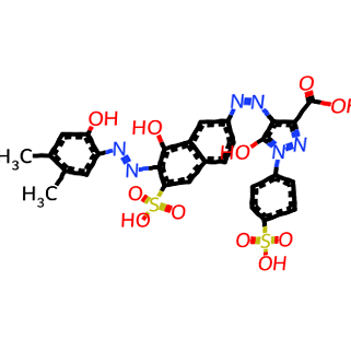 Cc1cc(O)c(N=Nc2c(S(=O)(=O)O)cc3ccc(/N=N\c4c(C(=O)O)nn(-c5ccc(S(=O)(=O)O)cc5)c4O)cc3c2O)cc1C